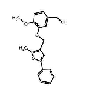 COc1ccc(CO)cc1OCc1nc(-c2ccccc2)oc1C